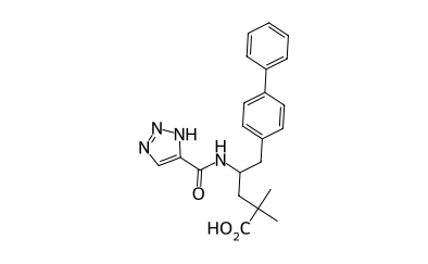 CC(C)(CC(Cc1ccc(-c2ccccc2)cc1)NC(=O)c1cnn[nH]1)C(=O)O